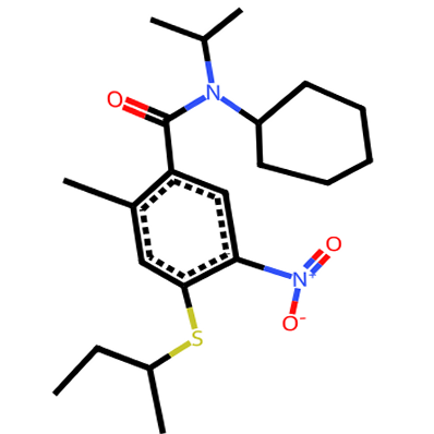 CCC(C)Sc1cc(C)c(C(=O)N(C(C)C)C2CCCCC2)cc1[N+](=O)[O-]